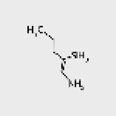 CCCC([SiH3])=CN